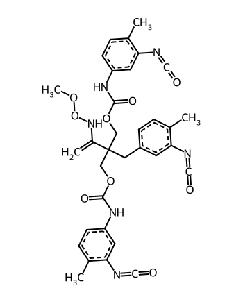 C=C(NOOC)C(COC(=O)Nc1ccc(C)c(N=C=O)c1)(COC(=O)Nc1ccc(C)c(N=C=O)c1)Cc1ccc(C)c(N=C=O)c1